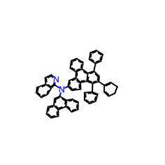 C1=CC(c2cc(-c3ccccc3)c3c4ccccc4c4cc(N(c5nccc6ccccc56)c5cc6ccccc6c6ccccc56)ccc4c3c2-c2ccccc2)=CCC1